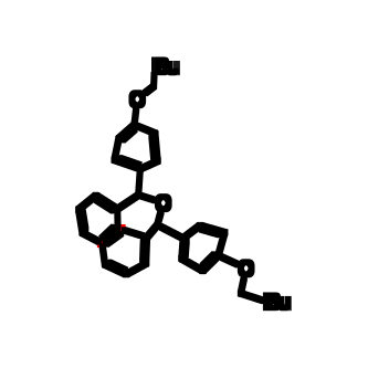 CCC(C)COc1ccc(C(OC(c2ccccc2)c2ccc(OCC(C)CC)cc2)c2ccccc2)cc1